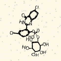 O=c1[nH]c(-c2cc(Cl)ccc2OP(=O)(O)O[C@@H]2[C@@H](O)[C@H](O)[C@@H](O)[C@H](O)[C@@H]2O)nc2ccc(Cl)cc12